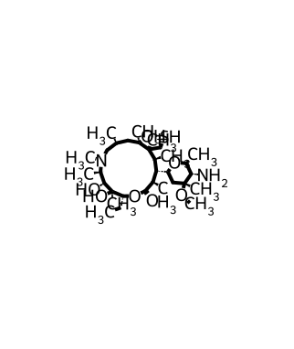 CC[C@H]1OC(=O)[C@H](C)[C@@H](C2C[C@@](C)(OC)[C@@H](N)[C@H](C)O2)[C@H](C)C(C)(CS)[C@](C)(O)C[C@@H](C)CN(C)[C@H](C)[C@@H](O)[C@]1(C)O